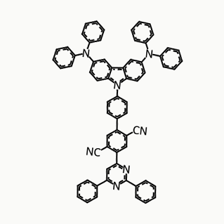 N#Cc1cc(-c2cc(-c3ccccc3)nc(-c3ccccc3)n2)c(C#N)cc1-c1ccc(-n2c3ccc(N(c4ccccc4)c4ccccc4)cc3c3cc(N(c4ccccc4)c4ccccc4)ccc32)cc1